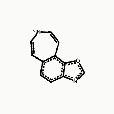 C1=Cc2ccc3ncoc3c2C=CN1